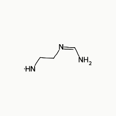 [NH]CC/N=C\N